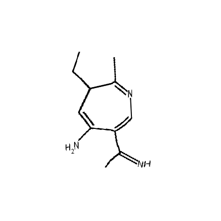 CCC1C=C(N)C(C(C)=N)=CN=C1C